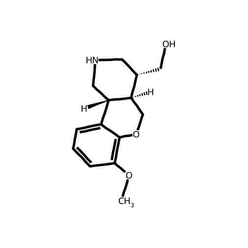 COc1cccc2c1OC[C@@H]1[C@@H](CO)CNC[C@@H]21